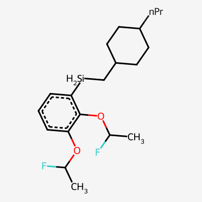 CCCC1CCC(C[SiH2]c2cccc(OC(C)F)c2OC(C)F)CC1